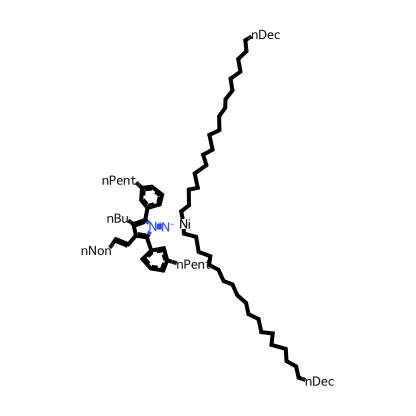 CCCCCCCCCC=CC1=C(c2cccc(CCCCC)c2)[N+](=[N-])C(c2cccc(CCCCC)c2)=C1CCCC.CCCCCCCCCCCCCCCCCCCCCCCCCCCC[CH2][Ni][CH2]CCCCCCCCCCCCCCCCCCCCCCCCCCCC